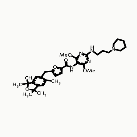 COc1nc(NCCCN2CCCCC2)nc(OC)c1NC(=O)c1ccc(Cc2cc3c(cc2C)C(C)(C)OC3(C)C)o1